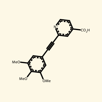 COc1cc(C#Cc2cc(C(=O)O)ccn2)cc(OC)c1OC